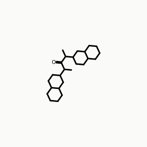 CC(C(=O)C(C)C1CCC2CCCCC2C1)C1CCC2CCCCC2C1